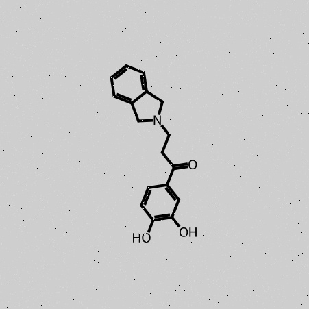 O=C(CCN1Cc2ccccc2C1)c1ccc(O)c(O)c1